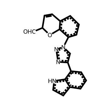 O=CC1C=Cc2cccc(-n3cc(-c4cccc5cc[nH]c45)nn3)c2O1